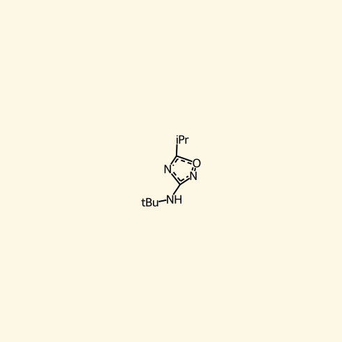 CC(C)c1nc(NC(C)(C)C)no1